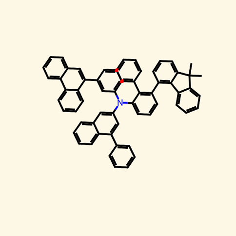 CC1(C)c2ccccc2-c2c(-c3cccc(N(c4cccc(-c5cc6ccccc6c6ccccc56)c4)c4cc(-c5ccccc5)c5ccccc5c4)c3-c3ccccc3)cccc21